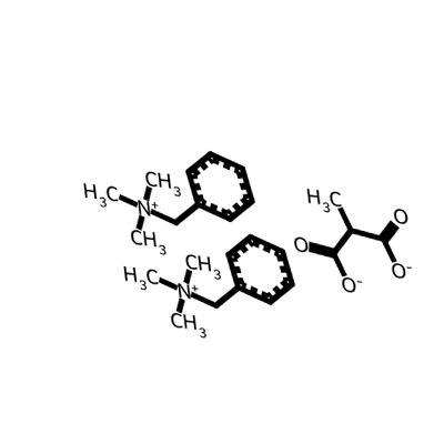 CC(C(=O)[O-])C(=O)[O-].C[N+](C)(C)Cc1ccccc1.C[N+](C)(C)Cc1ccccc1